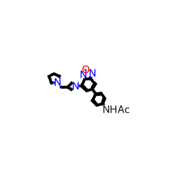 CC(=O)Nc1ccc(-c2cc(N3CC(CN4CCCC4)C3)c3nonc3c2)cc1